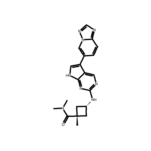 CN(C)C(=O)[C@]1(C)C[C@H](Nc2ncc3c(-c4ccc5ncnn5c4)c[nH]c3n2)C1